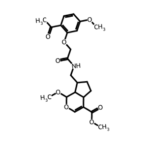 COC(=O)C1=COC(OC)C2C(CNC(=O)COc3cc(OC)ccc3C(C)=O)CCC12